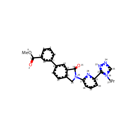 COC(=O)c1cccc(-c2ccc3c(c2)C(=O)N(c2cccc(-c4nncn4C(C)C)n2)C3)c1